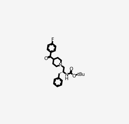 CC(C)(C)OC(=O)N[C@H](Cc1ccccc1)CN1CCC(C(=O)c2ccc(F)cc2)CC1